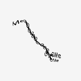 COCCOCCOCCOCCOCCOCCOCCOCCOCCOC(=O)CCN(CCOC)CCOC